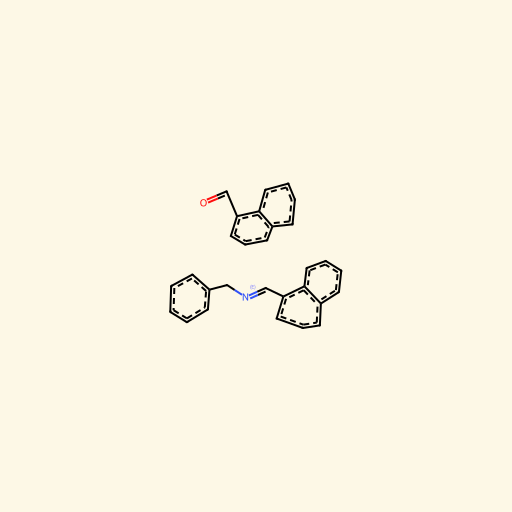 C(=N\Cc1ccccc1)/c1cccc2ccccc12.O=Cc1cccc2ccccc12